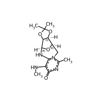 CNc1c2n(c(C)nc1=O)C[C@H]1O[C@@H](N2)C2OC(C)(C)O[C@H]21